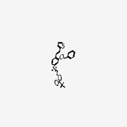 CN(CCOC(=O)C(C)(C)C)c1ccc(/C=C/c2cccs2)c(OCc2ccccc2)c1